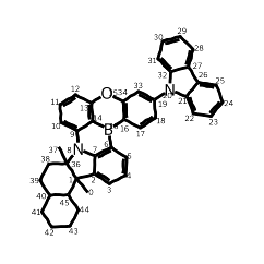 CC12c3cccc4c3N(c3cccc5c3B4c3ccc(-n4c6ccccc6c6ccccc64)cc3O5)C1(C)CCC1CCCCC12